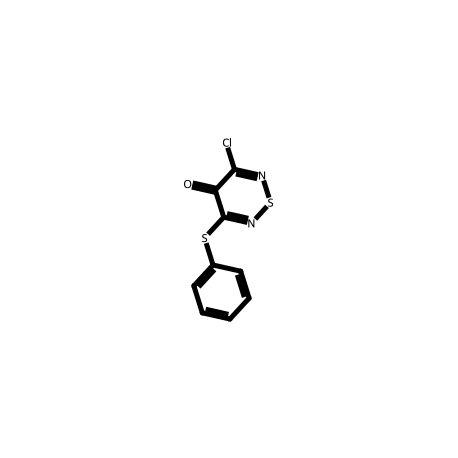 O=c1c(Cl)nsnc1Sc1ccccc1